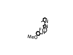 COc1ccc(F)c(CN2CCn3nc(-c4ncccc4C)cc3C2)c1